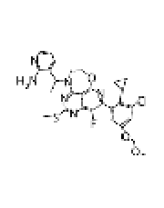 COCOc1cc(Cl)c(C2CC2)c(-c2nc3c4c(nc(SC)nc4c2F)N(C(C)c2cccnc2N)CCO3)c1